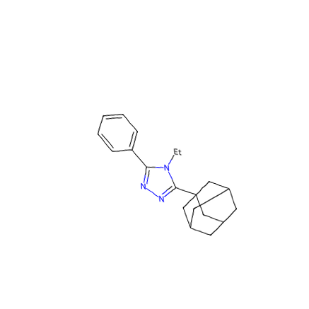 CCn1c(-c2ccccc2)nnc1C12CC3CC(CC(C3)C1)C2